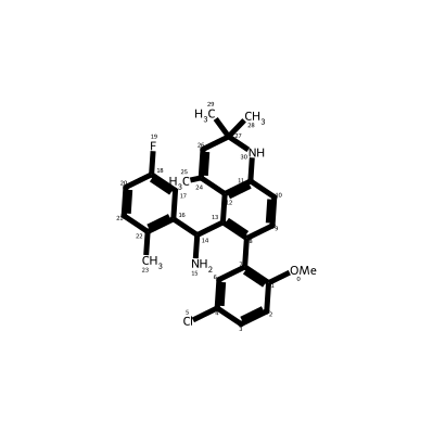 COc1ccc(Cl)cc1-c1ccc2c(c1C(N)c1cc(F)ccc1C)C(C)=CC(C)(C)N2